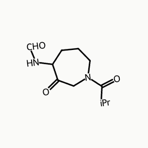 CC(C)C(=O)N1CCCC(NC=O)C(=O)C1